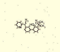 CC(c1cccc(-c2cccc(C(C)(C)C)c2O)c1)c1ccccn1